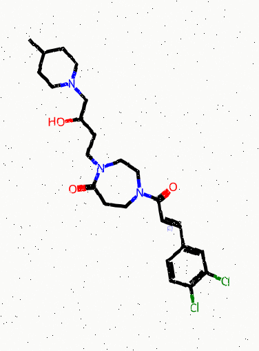 CC1CCN(CC(O)CCN2CCN(C(=O)/C=C/c3ccc(Cl)c(Cl)c3)CCC2=O)CC1